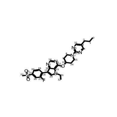 CCCc1cnc(N2CCC(Oc3ncnc4c(-c5ccc(S(C)(=O)=O)cc5F)cn(CC)c34)CC2)nc1